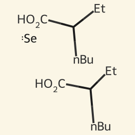 CCCCC(CC)C(=O)O.CCCCC(CC)C(=O)O.[Se]